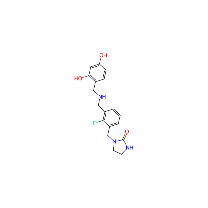 O=C1NCCN1Cc1cccc(CNCc2ccc(O)cc2O)c1F